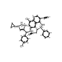 N#CCC[C@@H](Nc1c(C#N)cnc2c(Cl)cc(NC(C3=CN(C4CC4)NN3)c3ccc(Cl)cc3)cc12)c1ccccc1